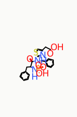 O=C(O)Cc1csc(NC(=O)C(Cc2ccccc2)NP(=O)(O)OCc2ccccc2)n1